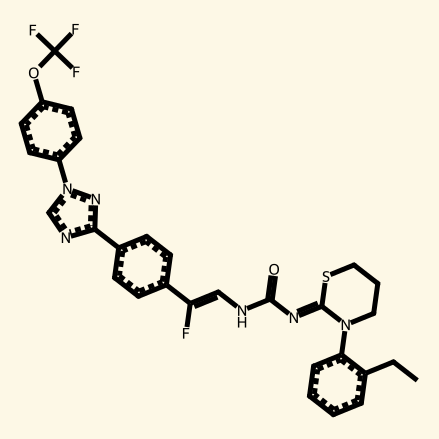 CCc1ccccc1N1CCCS/C1=N\C(=O)N/C=C(\F)c1ccc(-c2ncn(-c3ccc(OC(F)(F)F)cc3)n2)cc1